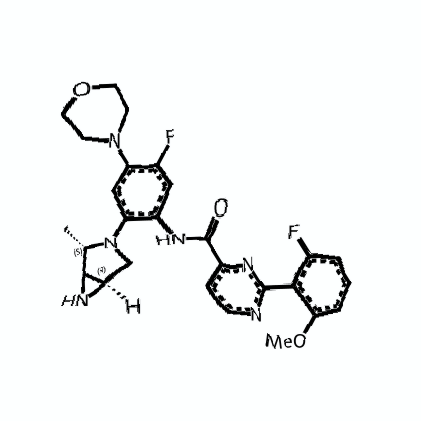 COc1cccc(F)c1-c1nccc(C(=O)Nc2cc(F)c(N3CCOCC3)cc2N2C[C@H]3NC3[C@@H]2C)n1